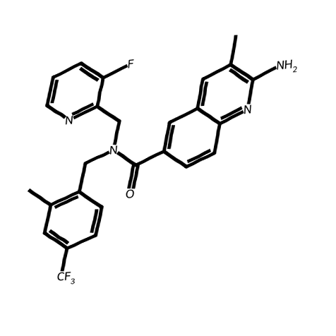 Cc1cc(C(F)(F)F)ccc1CN(Cc1ncccc1F)C(=O)c1ccc2nc(N)c(C)cc2c1